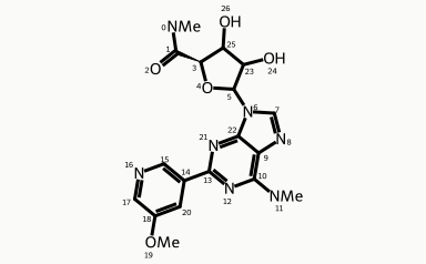 CNC(=O)[C@@H]1OC(n2cnc3c(NC)nc(-c4cncc(OC)c4)nc32)C(O)C1O